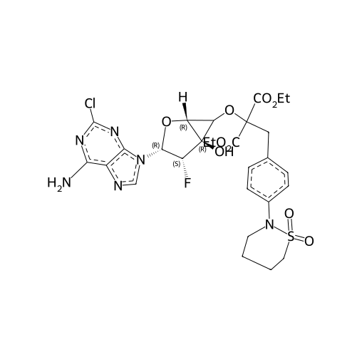 CCOC(=O)C(Cc1ccc(N2CCCCS2(=O)=O)cc1)(OC1[C@H]2O[C@@H](n3cnc4c(N)nc(Cl)nc43)[C@@H](F)[C@@]12O)C(=O)OCC